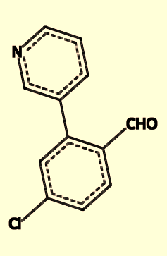 O=Cc1ccc(Cl)cc1-c1cccnc1